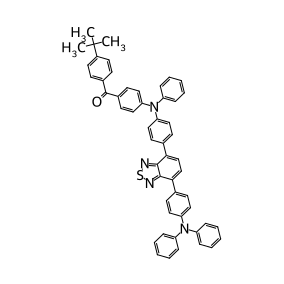 CC(C)(C)c1ccc(C(=O)c2ccc(N(c3ccccc3)c3ccc(-c4ccc(-c5ccc(N(c6ccccc6)c6ccccc6)cc5)c5nsnc45)cc3)cc2)cc1